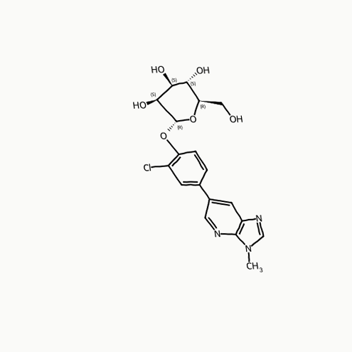 Cn1cnc2cc(-c3ccc(O[C@H]4O[C@H](CO)[C@@H](O)[C@H](O)[C@@H]4O)c(Cl)c3)cnc21